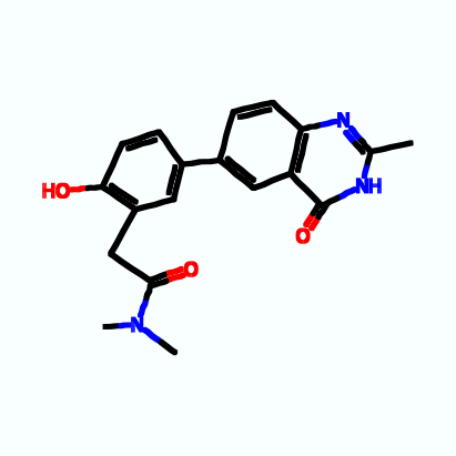 Cc1nc2ccc(-c3ccc(O)c(CC(=O)N(C)C)c3)cc2c(=O)[nH]1